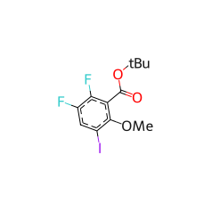 COc1c(I)cc(F)c(F)c1C(=O)OC(C)(C)C